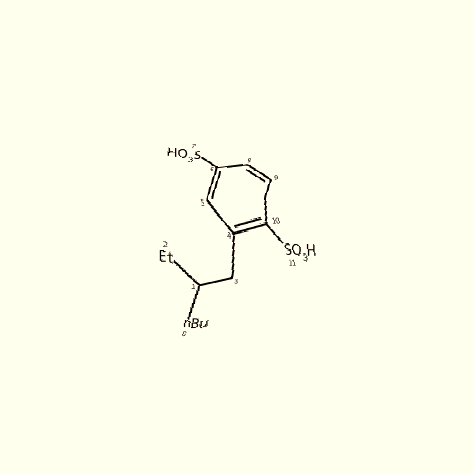 CCCCC(CC)Cc1cc(S(=O)(=O)O)ccc1S(=O)(=O)O